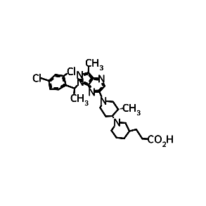 Cc1nn(C(C)c2ccc(Cl)cc2Cl)c2nc(N3CC[C@@H](N4CCCC(CCC(=O)O)C4)[C@@H](C)C3)cnc12